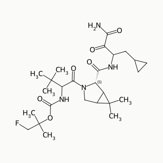 CC(C)(CF)OC(=O)NC(C(=O)N1CC2C([C@H]1C(=O)NC(CC1CC1)C(=O)C(N)=O)C2(C)C)C(C)(C)C